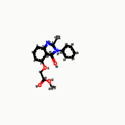 CCc1nc2cccc(OCC(=O)OC(C)C)c2c(=O)n1-c1ccccc1